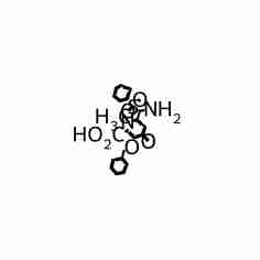 Cn1c(C(N)S(=O)(=O)c2ccccc2)cc(=O)c(OCc2ccccc2)c1C(=O)O